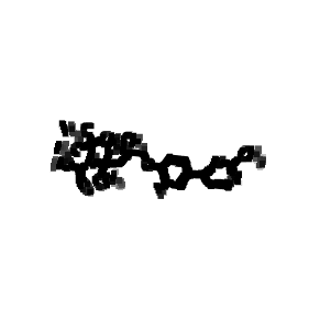 Cc1nccc(-c2ccc(OC[C@@H](C)CC(C)(C)N(C(=O)O)C(C)(C)C)c(F)c2)n1